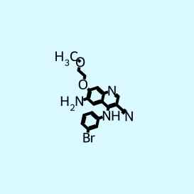 COCCOc1cc2ncc(C#N)c(Nc3cccc(Br)c3)c2cc1N